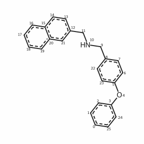 c1ccc(Oc2ccc(CNCc3ccc4ccccc4c3)cc2)cc1